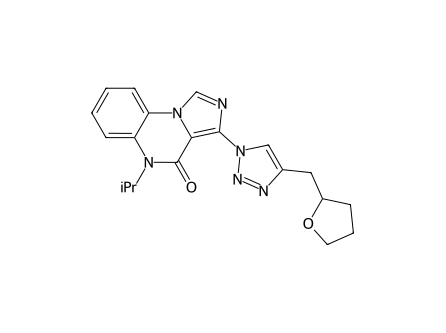 CC(C)n1c(=O)c2c(-n3cc(CC4CCCO4)nn3)ncn2c2ccccc21